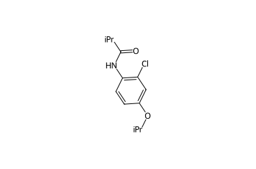 CC(C)Oc1ccc(NC(=O)C(C)C)c(Cl)c1